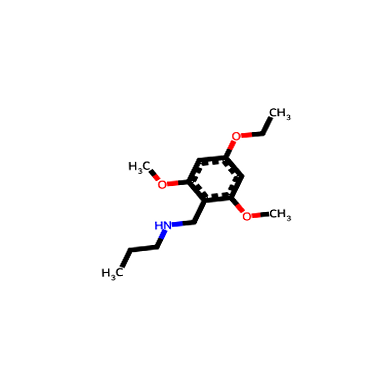 CCCNCc1c(OC)cc(OCC)cc1OC